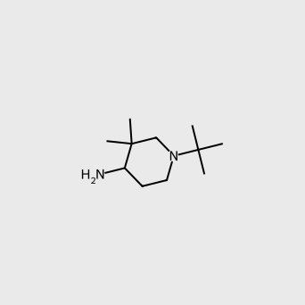 CC1(C)CN(C(C)(C)C)CCC1N